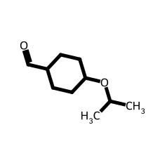 CC(C)OC1CCC(C=O)CC1